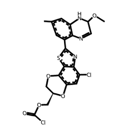 COC1C=Nc2c(cc(C)cc2-c2nc3c(Cl)cc4c(c3s2)OC[C@H](COC(=O)Cl)O4)N1